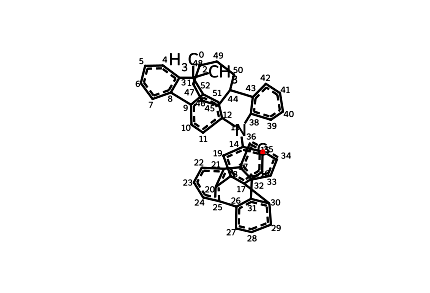 CC1(C)c2ccccc2-c2ccc(N(c3ccc4c(c3)-c3c5cccc3-c3cccc-4c3-c3ccccc3-5)c3ccccc3C3CCCCCC3)cc21